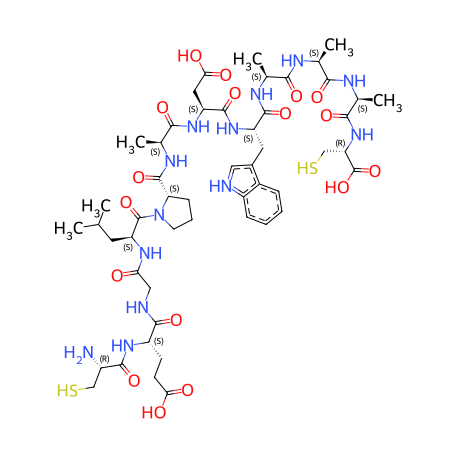 CC(C)C[C@H](NC(=O)CNC(=O)[C@H](CCC(=O)O)NC(=O)[C@@H](N)CS)C(=O)N1CCC[C@H]1C(=O)N[C@@H](C)C(=O)N[C@@H](CC(=O)O)C(=O)N[C@@H](Cc1c[nH]c2ccccc12)C(=O)N[C@@H](C)C(=O)N[C@@H](C)C(=O)N[C@@H](C)C(=O)N[C@@H](CS)C(=O)O